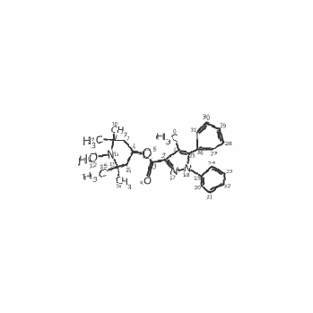 Cc1c(C(=O)OC2CC(C)(C)N(O)C(C)(C)C2)nn(-c2ccccc2)c1-c1ccccc1